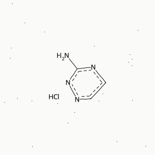 Cl.Nc1nccnn1